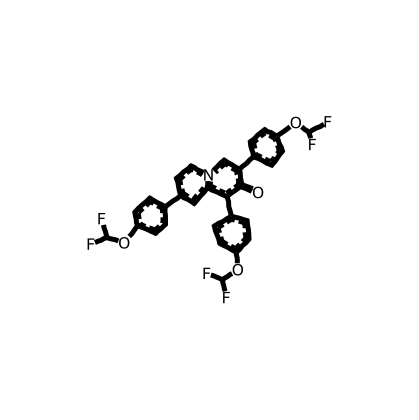 O=c1c(-c2ccc(OC(F)F)cc2)cn2ccc(-c3ccc(OC(F)F)cc3)cc2c1-c1ccc(OC(F)F)cc1